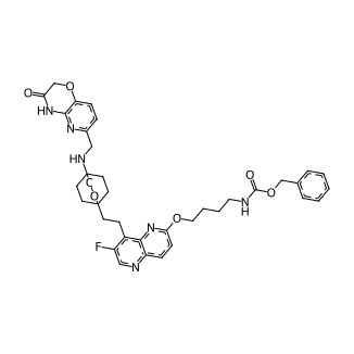 O=C1COc2ccc(CNC34CCC(CCc5c(F)cnc6ccc(OCCCCNC(=O)OCc7ccccc7)nc56)(CC3)OC4)nc2N1